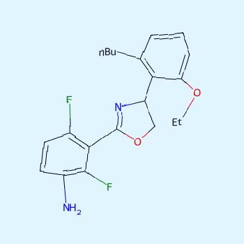 CCCCc1cccc(OCC)c1C1COC(c2c(F)ccc(N)c2F)=N1